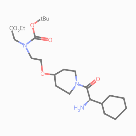 CCOC(=O)CN(CCOC1CCN(C(=O)[C@H](N)C2CCCCC2)CC1)C(=O)OC(C)(C)C